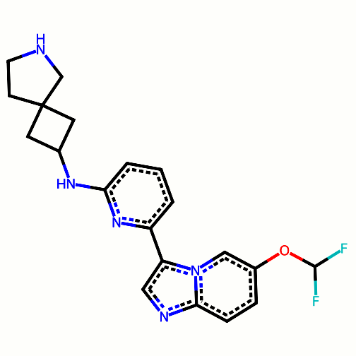 FC(F)Oc1ccc2ncc(-c3cccc(NC4CC5(CCNC5)C4)n3)n2c1